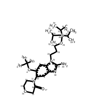 [2H]C([2H])([2H])Oc1cc2c(cc1N1CCOCC1=O)nc(N)n2CCCO[Si](C(C)C)(C(C)C)C(C)C